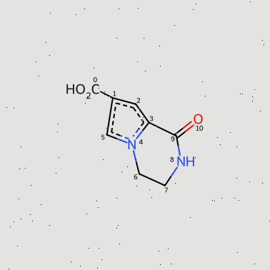 O=C(O)c1cc2n(c1)CCNC2=O